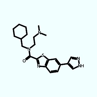 CN(C)CCN(CC1CCCCC1)C(=O)c1nc2ccc(-c3cn[nH]c3)cc2s1